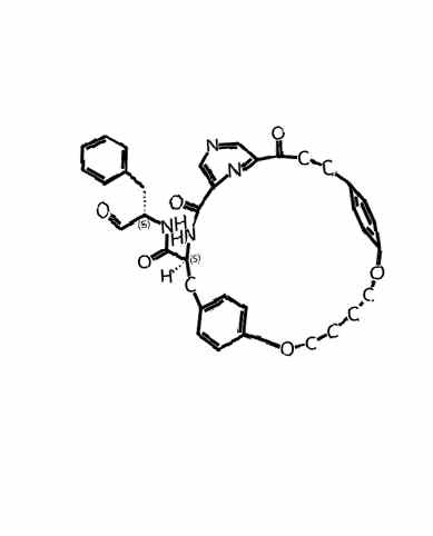 O=C[C@H](Cc1ccccc1)NC(=O)[C@@H]1Cc2ccc(cc2)OCCCCOc2ccc(cc2)CCC(=O)c2cncc(n2)C(=O)N1